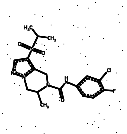 CC1Cn2ncc(S(=O)(=O)C(C)C)c2CN1C(=O)Nc1ccc(F)c(Cl)c1